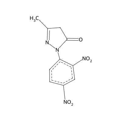 CC1=NN(c2ccc([N+](=O)[O-])cc2[N+](=O)[O-])C(=O)C1